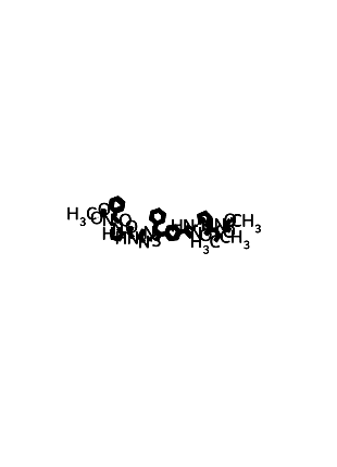 COC(=O)N[C@H](C(=O)N1CCC[C@H]1c1ncc(-c2ccc(-c3sc4nc(NC(=O)[C@@H]5CCCN5C(=O)[C@H](NC(=O)OC)c5ccccc5)cn4c3C3CCCCC3)cc2)[nH]1)C(C)C